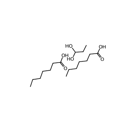 CCC(O)O.CCCCCCC(=O)O.CCCCCCC(=O)O